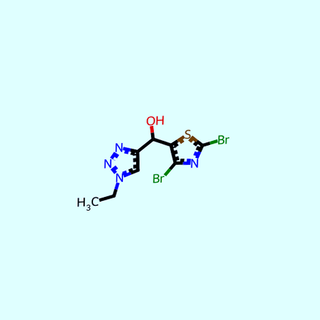 CCn1cc(C(O)c2sc(Br)nc2Br)nn1